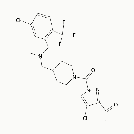 CC(=O)c1nn(C(=O)N2CCC(CN(C)Cc3cc(Cl)ccc3C(F)(F)F)CC2)cc1Cl